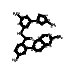 Cc1ccc(C(=O)Nc2cc(-n3cnc(C)c3)cc(C(F)(F)F)c2)c(-c2ccc3nc(N)ncc3c2)c1